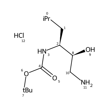 CC(C)C[C@H](NC(=O)OC(C)(C)C)[C@@H](O)CN.Cl